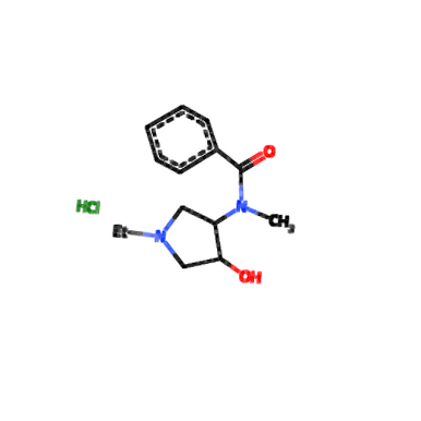 CCN1CC(O)C(N(C)C(=O)c2ccccc2)C1.Cl